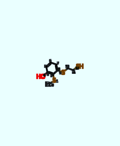 CCSc1c(O)cccc1SCCS